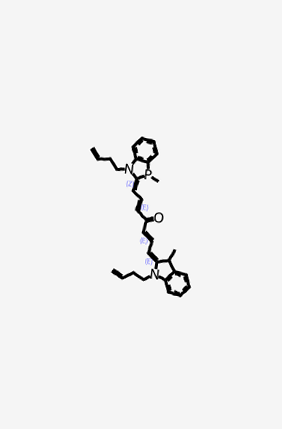 C=CCCN1/C(=C/C=C/C(=O)/C=C/C=C2\C(C)c3ccccc3N2CCC=C)P(C)c2ccccc21